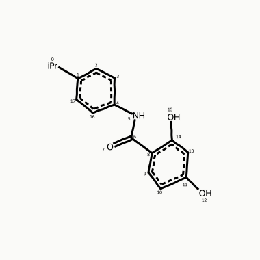 CC(C)c1ccc(NC(=O)c2ccc(O)cc2O)cc1